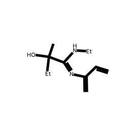 C=CC(=C)/N=C(\NCC)C(C)(O)CC